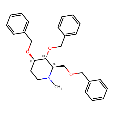 CN1CC[C@@H](OCc2ccccc2)[C@H](OCc2ccccc2)[C@H]1COCc1ccccc1